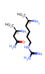 N=C(N)NCCCC[C@H](N)C(=O)O.NC(=O)C[C@H](N)C(=O)O